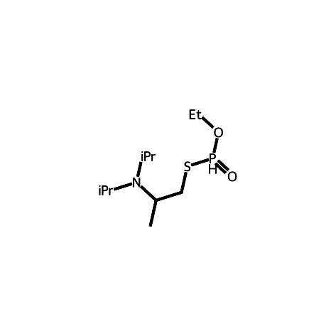 CCO[PH](=O)SCC(C)N(C(C)C)C(C)C